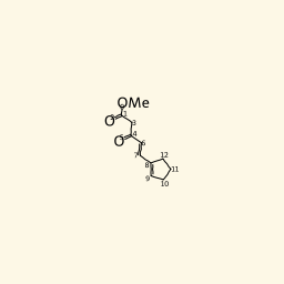 COC(=O)CC(=O)/C=C/C1=CCCC1